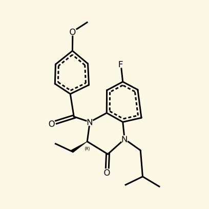 CC[C@@H]1C(=O)N(CC(C)C)c2ccc(F)cc2N1C(=O)c1ccc(OC)cc1